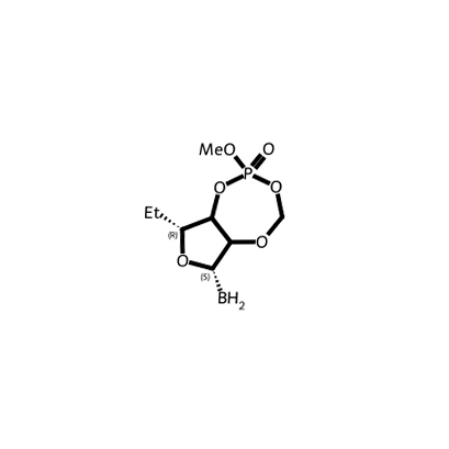 B[C@@H]1O[C@H](CC)C2OP(=O)(OC)OCOC21